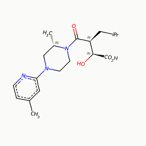 Cc1ccnc(N2CCN(C(=O)[C@@H](CC(C)C)[C@H](O)C(=O)O)[C@@H](C)C2)c1